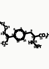 C/C(=N/OC(C)C)c1ccc(CC(NC(C)C)C(=O)O)cc1